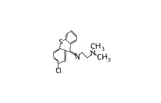 CN(C)CC/N=c1\c2ccccc2sc2ccc(Cl)cc12